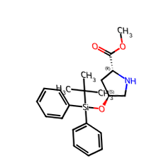 COC(=O)[C@H]1C[C@H](O[Si](c2ccccc2)(c2ccccc2)C(C)(C)C)CN1